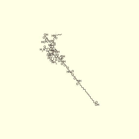 CCCC[C@@H](C)NC(=O)CCNC(=O)[C@H](CCCCN(CC(=O)O)CC(=O)O)NC(=O)[C@H](Cc1c[nH]cn1)NC(=O)[C@H](CCC(N)=O)NC(=O)[C@H](CO)NC(=O)[C@H](CO)NC(=O)[C@H](CCC(N)=O)NC(=O)[C@@H](CO)NC(=O)CNC(=O)COCCOCCNC(=O)COCCOCCNC(=O)CCCCCCCCCCCCCCCCCCC(=O)O